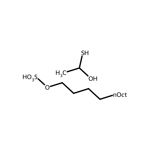 CC(O)S.CCCCCCCCCCCCOS(=O)(=O)O